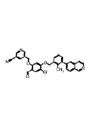 Cc1c(COc2cc(OCc3cncc(C#N)c3)c(C=O)cc2Cl)cccc1-c1ccc2cnccc2c1